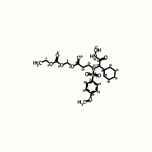 CCOC(=O)OCOC(=O)CCN(C(C(=O)NO)C1CCCCC1)S(=O)(=O)c1ccc(OC)cc1